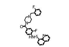 O=C(c1ccc(NSc2cccc3cccnc23)c(F)c1)N1CCN(Cc2ccccc2F)CC1